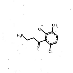 Cc1ccc(Cl)c(C(=O)CCP)c1Cl